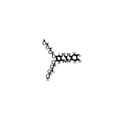 COCOCOCOc1cc2nc3nc4cc(C)c(C)cc4nc3nc2cc1OCOCOCOC